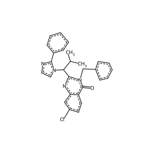 CC(C)C(c1nc2cc(Cl)ccc2c(=O)n1Cc1ccccc1)n1ccnc1-c1ccccc1